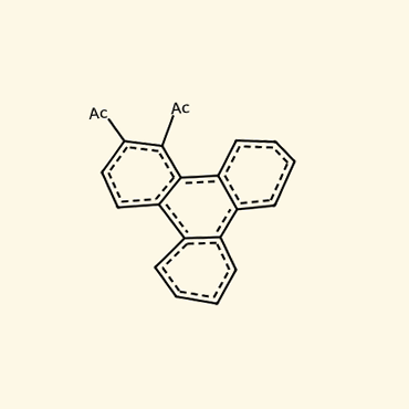 CC(=O)c1ccc2c3ccccc3c3ccccc3c2c1C(C)=O